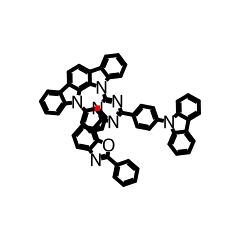 c1ccc(-c2nc3cccc(-c4nc(-c5ccc(-n6c7ccccc7c7ccccc76)cc5)nc(-n5c6ccccc6c6ccc7c8ccccc8n(-c8ccccc8)c7c65)n4)c3o2)cc1